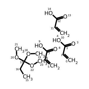 C=CC(=O)O.C=CC(=O)O.C=CC(=O)O.CCC(OC)(OC)OC